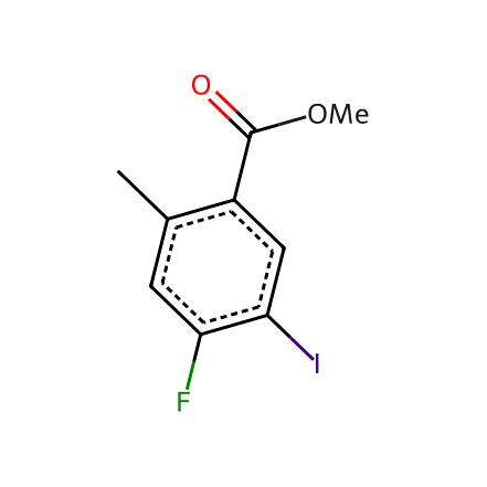 COC(=O)c1cc(I)c(F)cc1C